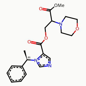 COC(=O)C(COC(=O)c1cncn1[C@H](C)c1ccccc1)N1CCOCC1